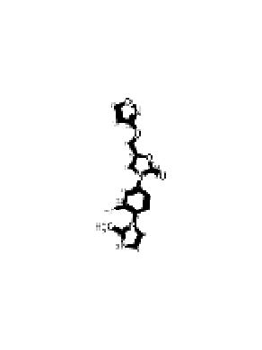 Cc1nccn1-c1ccc(N2CC(COc3ccon3)OC2=O)cc1F